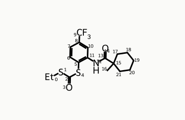 CCSC(=O)Sc1ccc(C(F)(F)F)cc1NC(=O)C1(C)CCCCC1